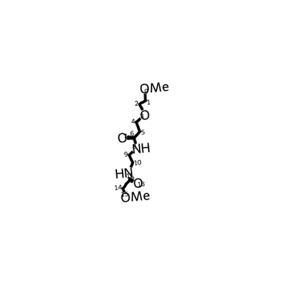 COCCOCCC(=O)NCCNC(=O)COC